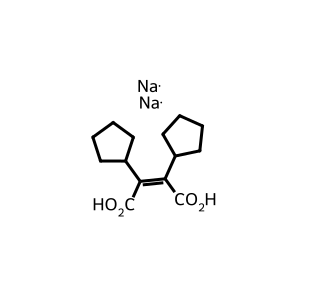 O=C(O)C(=C(C(=O)O)C1CCCC1)C1CCCC1.[Na].[Na]